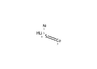 [LiH].[Ni].[S]=[Co]